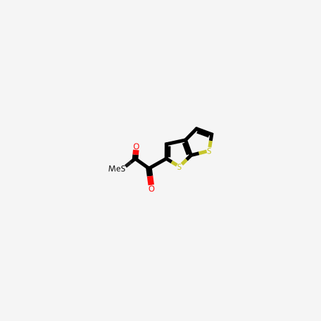 CSC(=O)C(=O)c1cc2ccsc2s1